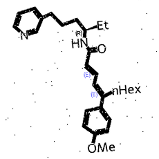 CCCCCC/C(=C\C=C\C(=O)N[C@H](CC)CCCc1cccnc1)c1ccc(OC)cc1